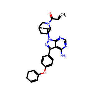 C=CC(=O)N1CC2CCC1C(n1nc(-c3ccc(OC4=CCCC=C4)cc3)c3c(N)ncnc31)C2